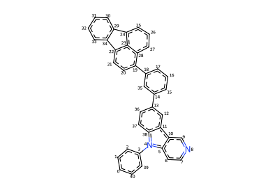 c1ccc(-n2c3ccncc3c3cc(-c4cccc(-c5ccc6c7c(cccc57)-c5ccccc5-6)c4)ccc32)cc1